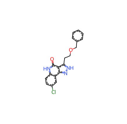 O=c1[nH]c2ccc(Cl)cc2c2n[nH]c(CCOCc3ccccc3)c12